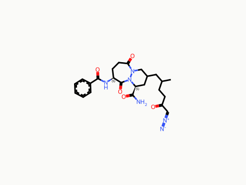 CC(CCC(=O)C=[N+]=[N-])CC1C[C@@H](C(N)=O)N2C(=O)[C@@H](NC(=O)c3ccccc3)CCC(=O)N2C1